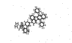 BC1(B)c2ccc(-c3ccc4c5c(cccc35)-c3c-4c(-c4ccccc4)c4ccccc4c3-c3ccccc3)cc2-c2ncccc21